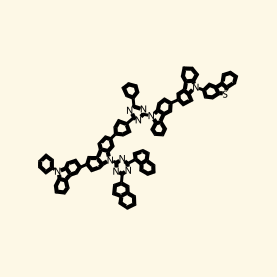 c1ccc(-c2nc(-c3ccc(-c4ccc5c6cc(-c7ccc8c(c7)c7ccccc7n8-c7ccccc7)ccc6n(-c6nc(-c7ccc8ccccc8c7)nc(-c7cccc8ccccc78)n6)c5c4)cc3)nc(-n3c4ccccc4c4cc(-c5ccc6c(c5)c5ccccc5n6-c5ccc6sc7ccccc7c6c5)ccc43)n2)cc1